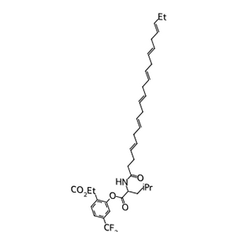 CCC=CCC=CCC=CCC=CCC=CCC=CCCC(=O)NC(CC(C)C)C(=O)Oc1cc(C(F)(F)F)ccc1C(=O)OCC